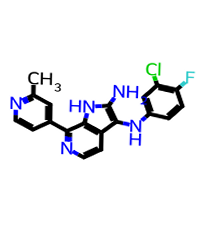 Cc1cc(-c2nccc3c(Nc4ccc(F)c(Cl)c4)c(N)[nH]c23)ccn1